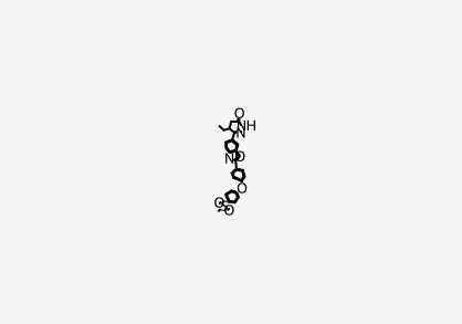 CCC1CC(=O)NN=C1c1ccc2nc(-c3ccc(Oc4ccc(S(C)(=O)=O)cc4)cc3)oc2c1